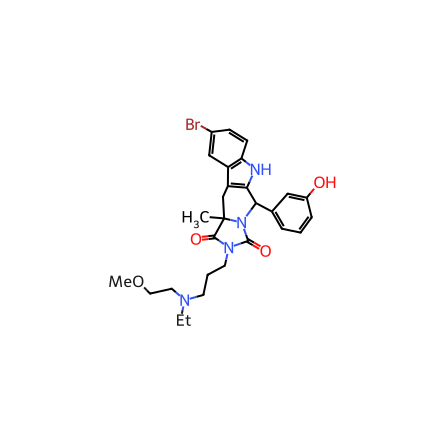 CCN(CCCN1C(=O)N2C(c3cccc(O)c3)c3[nH]c4ccc(Br)cc4c3CC2(C)C1=O)CCOC